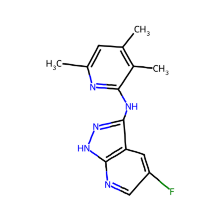 Cc1cc(C)c(C)c(Nc2n[nH]c3ncc(F)cc23)n1